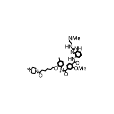 CNCCNc1nc2c(NC(=O)c3ccc(C(=O)N(C)c4ccc(C)cc4OCCCCCC(=O)N4CCN(C)CC4)cc3OC)cccc2[nH]1